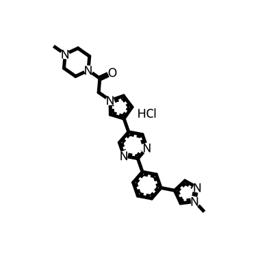 CN1CCN(C(=O)Cn2ccc(-c3cnc(-c4cccc(-c5cnn(C)c5)c4)nc3)c2)CC1.Cl